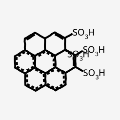 O=S(=O)(O)C1=CC2C=Cc3ccc4ccc5ccc6c7c(c2c3c4c57)C1(S(=O)(=O)O)C(S(=O)(=O)O)=C6S(=O)(=O)O